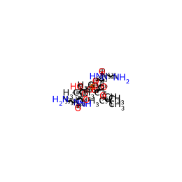 CC(C)CC(C)(C)OC[C@H]1O[C@@H](c2cn(CCCN)c(=O)[nH]c2=O)[C@@H](OP(C)(=O)OC[C@H]2O[C@@H](c3cn(CCCN)c(=O)[nH]c3=O)[C@@H](C)C2O)C1C